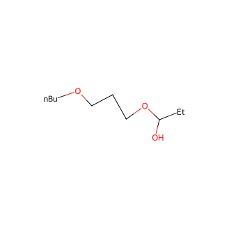 CCCCOCCCOC(O)CC